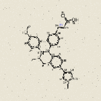 COc1ccc(N2C(C)Cc3cc(-c4cnn(C)c4)ccc3C2c2ccc(/C=C/C(=O)O)cc2)cc1